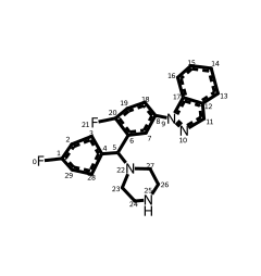 Fc1ccc(C(c2cc(-n3ncc4ccccc43)ccc2F)N2CCNCC2)cc1